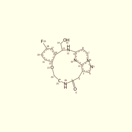 O=C1Cc2cnn3ccc(nc23)NC(CO)c2cc(F)ccc2OCCN1